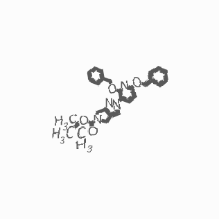 CC(C)(C)OC(=O)N1Cc2cn(-c3ccc(OCc4ccccc4)nc3OCc3ccccc3)nc2C1